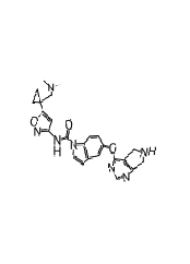 CN(C)CC1(c2cc(NC(=O)n3ccc4cc(Oc5ncnc6c5CNC6)ccc43)no2)CC1